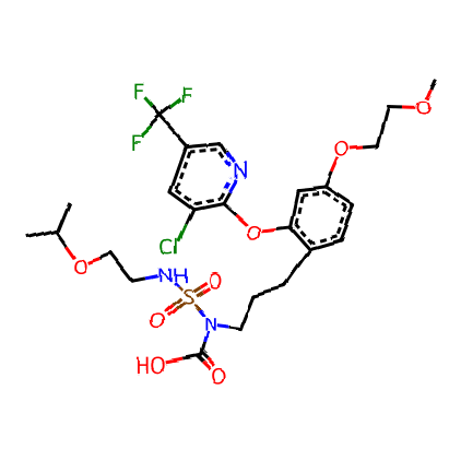 COCCOc1ccc(CCCN(C(=O)O)S(=O)(=O)NCCOC(C)C)c(Oc2ncc(C(F)(F)F)cc2Cl)c1